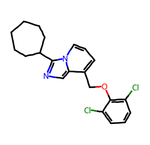 Clc1cccc(Cl)c1OCc1cccn2c(C3CCCCCC3)ncc12